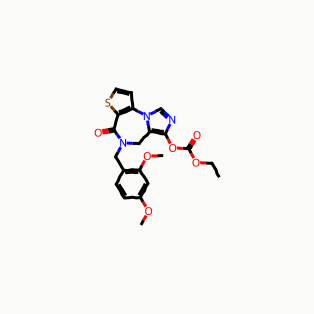 CCOC(=O)Oc1ncn2c1CN(Cc1ccc(OC)cc1OC)C(=O)c1sccc1-2